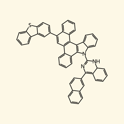 C1=CC2=C(c3ccc4ccccc4c3)N=C(n3c4ccccc4c4c5c6ccccc6c(-c6ccc7sc8ccccc8c7c6)cc5c5ccccc5c43)NC2C=C1